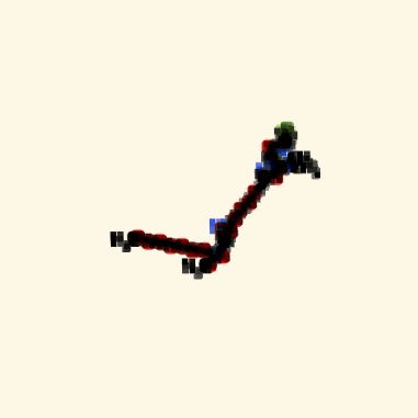 CCN(CC)c1ccc(NC(=O)c2cccc(CCCOCCOCCOCCOCCNS(=O)(=O)c3ccc(CCC(=O)N(CCOC)CCOCCOCCOCCOCCOCCOCCOC)cc3)c2)c(-c2cc(C(=O)NCc3cccc(C(F)(F)F)c3)ccn2)c1